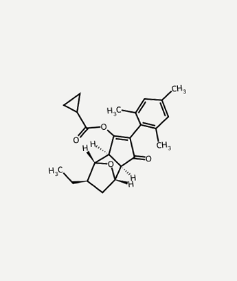 CC[C@@H]1C[C@@H]2O[C@H]1[C@H]1C(OC(=O)C3CC3)=C(c3c(C)cc(C)cc3C)C(=O)[C@H]12